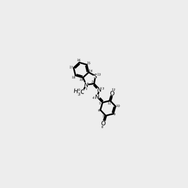 Cn1c(=NN=C2CC(=O)C=CC2=O)sc2ccccc21